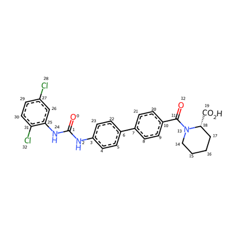 O=C(Nc1ccc(-c2ccc(C(=O)N3CCCC[C@H]3C(=O)O)cc2)cc1)Nc1cc(Cl)ccc1Cl